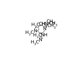 CCN1CC(NC2(C)CCN3CC(NC(C)(C)C)C3CC(C)(C)C3CCN(CC)C(C3)C2)C1